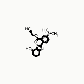 C#CCOC(=O)c1cc(N(C)C)ccc1-c1nc2c(s1)C(O)CCC2